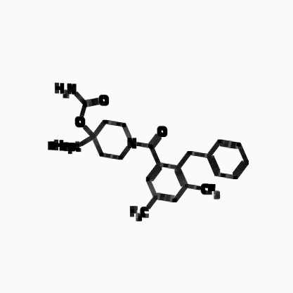 CCCCCCCC1(OC(N)=O)CCN(C(=O)c2cc(C(F)(F)F)cc(C(F)(F)F)c2Cc2ccccc2)CC1